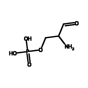 NC(C=O)COP(=O)(O)O